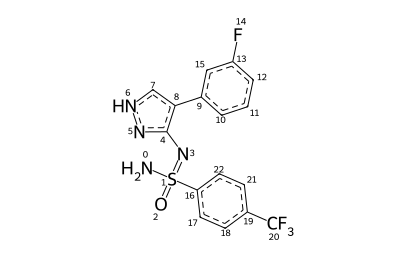 NS(=O)(=Nc1n[nH]cc1-c1cccc(F)c1)c1ccc(C(F)(F)F)cc1